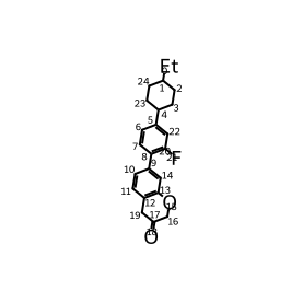 CCC1CCC(c2ccc(-c3ccc4c(c3)OCC(=O)C4)c(F)c2)CC1